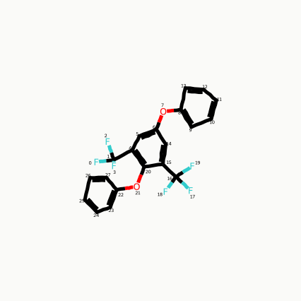 FC(F)(F)c1cc(Oc2ccccc2)cc(C(F)(F)F)c1Oc1ccccc1